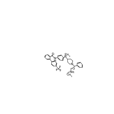 CCNCOC(c1ccccc1)N1CCC(N(C)c2ccc(NC(=O)c3ccccc3-c3ccc(C(F)(F)F)cc3)cc2)CC1